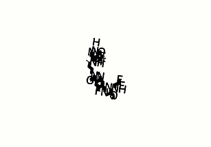 COc1cnc(-c2cc3ncn(CCC[C@H](C)Nc4cn[nH]c(=O)c4C(F)(F)F)c(=O)c3cc2F)nc1NCC(F)F